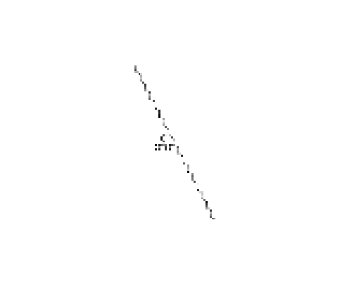 CCCCCCCCCCCCCCCCCC(CCCCCCCCCCCCCCCCC)OC(=O)Cl